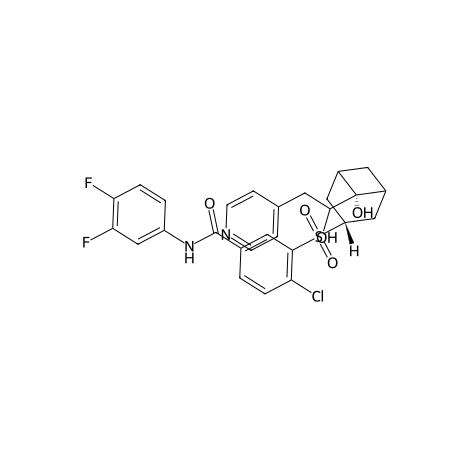 O=C(Nc1ccc(F)c(F)c1)c1ccc(Cl)c(S(=O)(=O)[C@H]2CC3CC(C2)[C@]3(O)C(O)Cc2ccncc2)c1